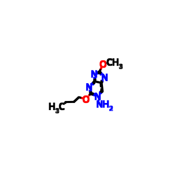 CCCCOc1nc2nc(OC)nc-2cn1N